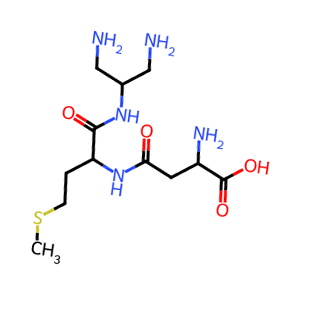 CSCCC(NC(=O)CC(N)C(=O)O)C(=O)NC(CN)CN